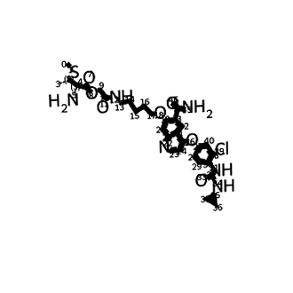 CS[C@@H](C)[C@@H](N)C(=O)OCC(=O)NCCCCCOc1cc2nccc(Oc3ccc(NC(=O)NC4CC4)c(Cl)c3)c2cc1C(N)=O